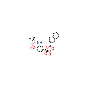 CC(=O)Nc1cc([As](=O)(O)OC(=O)c2ccc3ccccc3c2)ccc1O